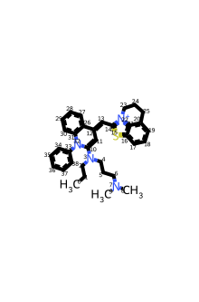 CCCN(CCCN(C)C)C1=C/C(=C\c2sc3cccc4c3[n+]2CCC4)c2ccccc2N1c1ccccc1